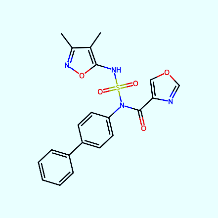 Cc1noc(NS(=O)(=O)N(C(=O)c2cocn2)c2ccc(-c3ccccc3)cc2)c1C